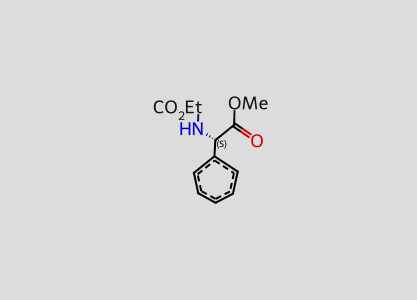 CCOC(=O)N[C@H](C(=O)OC)c1ccccc1